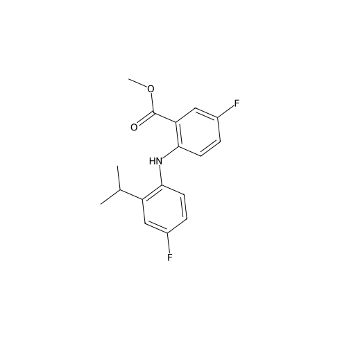 COC(=O)c1cc(F)ccc1Nc1ccc(F)cc1C(C)C